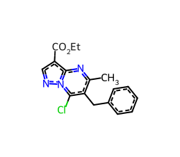 CCOC(=O)c1cnn2c(Cl)c(Cc3ccccc3)c(C)nc12